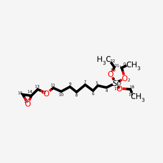 CCO[Si](CCCCCCCCOCC1CO1)(OCC)OCC